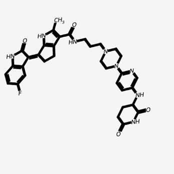 Cc1[nH]c2c(c1C(=O)NCCCN1CCN(c3ccc(NC4CCC(=O)NC4=O)cn3)CC1)CC/C2=C1/C(=O)Nc2ccc(F)cc21